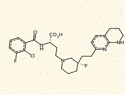 O=C(N[C@@H](CCN1CCC[C@](F)(CCc2ccc3c(n2)NCCC3)C1)C(=O)O)c1cccc(F)c1Cl